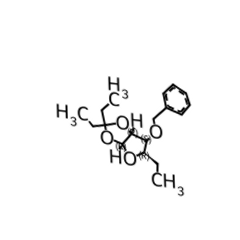 CC[C@H]1O[C@@H]2OC(CC)(CC)O[C@@H]2[C@H]1OCc1ccccc1